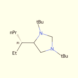 CCC[C@@H](CC)C1CN(C(C)(C)C)CN1C(C)(C)C